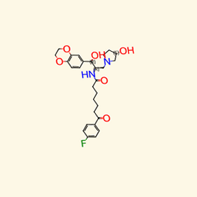 O=C(CCCCCC(=O)c1ccc(F)cc1)N[C@H](CN1CC[C@H](O)C1)[C@H](O)c1ccc2c(c1)OCCO2